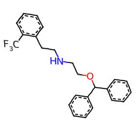 FC(F)(F)c1ccccc1CCNCCOC(c1ccccc1)c1ccccc1